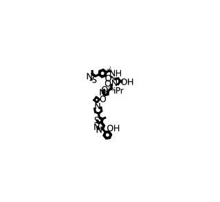 Cc1ncsc1-c1ccc([C@H](C)NC(=O)[C@@H]2C[C@@H](O)CN2C(=O)[C@@H](c2cc(OC3CCC3N3CCC(c4sc5nnc(-c6ccccc6O)cc5c4C)CC3)no2)C(C)C)cc1